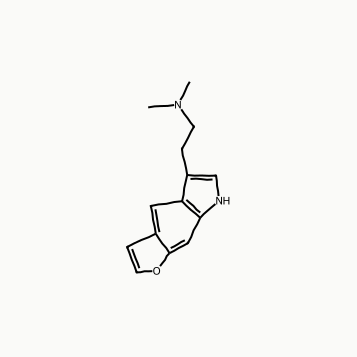 CN(C)CCc1c[nH]c2cc3occc3cc12